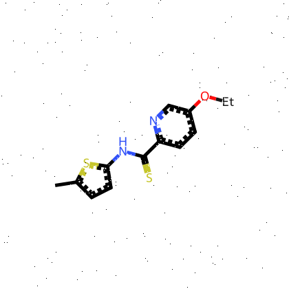 CCOc1ccc(C(=S)Nc2ccc(C)s2)nc1